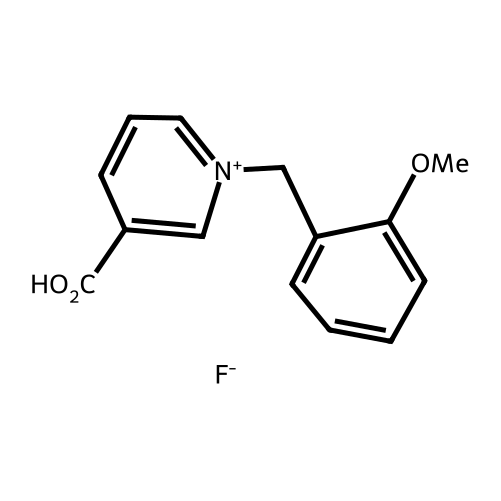 COc1ccccc1C[n+]1cccc(C(=O)O)c1.[F-]